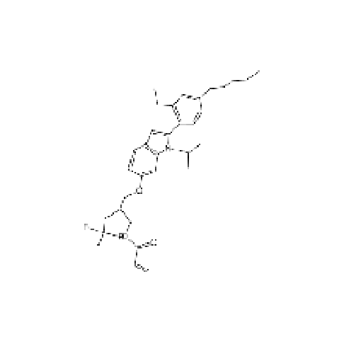 C=CC(=O)OCC(COc1ccc2cc(-c3ccc(CCCCC)cc3CC)n(C(C)C)c2c1)CC(F)(F)F